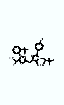 CC(F)c1nc(Cn2nc(-c3ccc(Cl)cc3)n(CC(O)C(F)(F)F)c2=O)nn1-c1ccccc1C(F)(F)F